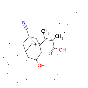 CC(C(=O)O)=C(C)C12CC3CC(O)(CC(C#N)(C3)C1)C2